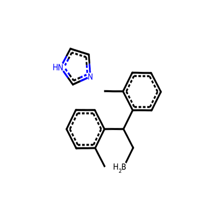 BCC(c1ccccc1C)c1ccccc1C.c1c[nH]cn1